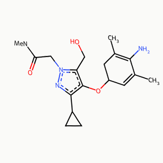 CNC(=O)Cn1nc(C2CC2)c(OC2C=C(C)C(N)=C(C)C2)c1CO